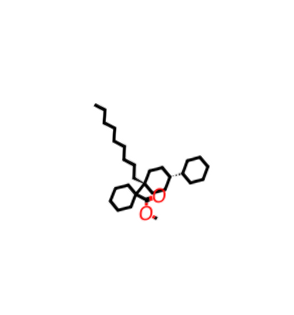 CCCCCCCCC[C@]1(C2(C(=O)OC)CCCCC2)CC[C@@H](C2CCCCC2)CC1